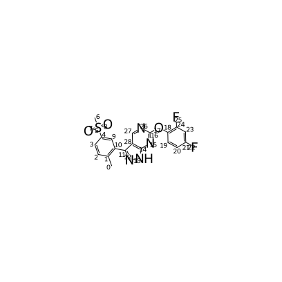 Cc1ccc(S(C)(=O)=O)cc1-c1n[nH]c2nc(Oc3ccc(F)cc3F)ncc12